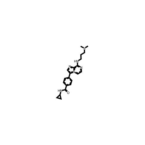 CN(C)CCCNc1nccn2c(-c3ccc(C(=O)NC4CC4)cc3)cnc12